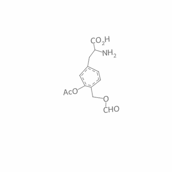 CC(=O)Oc1cc(CC(N)C(=O)O)ccc1COC=O